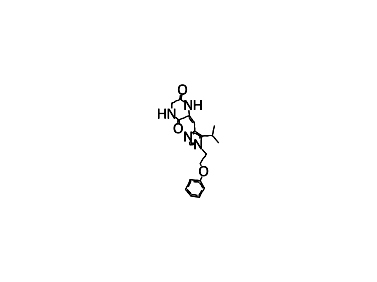 CC(C)c1c(C=C2NC(=O)CNC2=O)ncn1CCOc1ccccc1